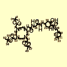 CC(C)(C)OC(=O)CN1CCN(CC(=O)NCC(=O)NCC2CCC(C(=O)NCC3=CCC(C)(C)O3)[C@H](O)C2)CCN(CC(=O)OC(C)(C)C)CCN(CC(=O)OC(C)(C)C)CC1